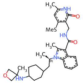 CSc1cc(C)[nH]c(=O)c1CNC(=O)c1c(C)n([C@H](C)CC2CCC(NC3(C)COC3)CC2)c2ccccc12